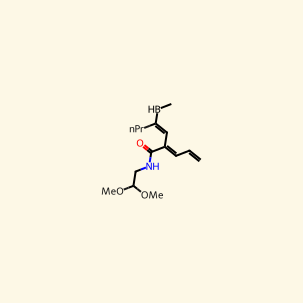 C=C/C=C(\C=C(\BC)CCC)C(=O)NCC(OC)OC